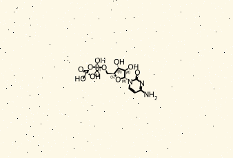 Nc1ccn([C@@H]2O[C@@H](CO[P@@](=O)(O)OP(=O)(O)O)[C@H](O)[C@H]2O)c(=O)n1